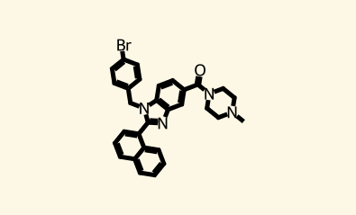 CN1CCN(C(=O)c2ccc3c(c2)nc(-c2cccc4ccccc24)n3Cc2ccc(Br)cc2)CC1